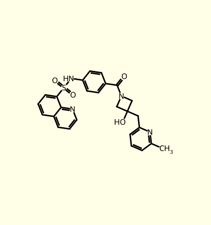 Cc1cccc(CC2(O)CN(C(=O)c3ccc(NS(=O)(=O)c4cccc5cccnc45)cc3)C2)n1